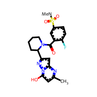 CNS(=O)(=O)c1ccc(F)c(C(=O)N2CCCCC2c2cc3nc(C)cc(O)n3n2)c1